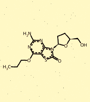 CCCOc1nc(N)nc2c1sc(=O)n2[C@H]1CC[C@@H](CO)O1